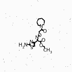 CCOC(=O)/C(=N\OCC(=O)N1CCCCCC1)c1csc(N)n1